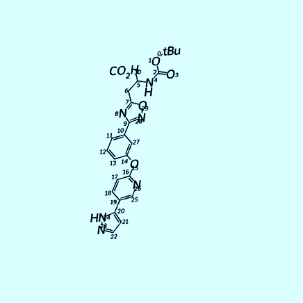 CC(C)(C)OC(=O)NC(Cc1nc(-c2cccc(Oc3ccc(-c4ccn[nH]4)cn3)c2)no1)C(=O)O